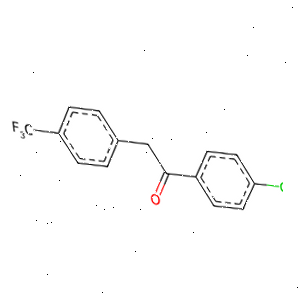 O=C(Cc1ccc(C(F)(F)F)cc1)c1ccc(Cl)cc1